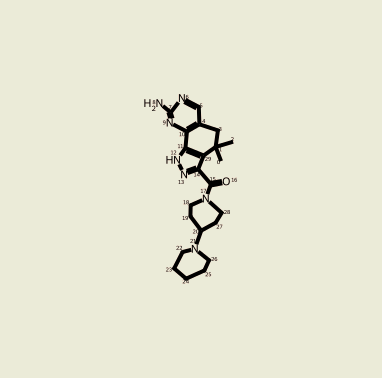 CC1(C)Cc2cnc(N)nc2-c2[nH]nc(C(=O)N3CCC(N4CCCCC4)CC3)c21